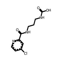 O=C(O)NCCCNC(=O)c1cc(Cl)ccn1